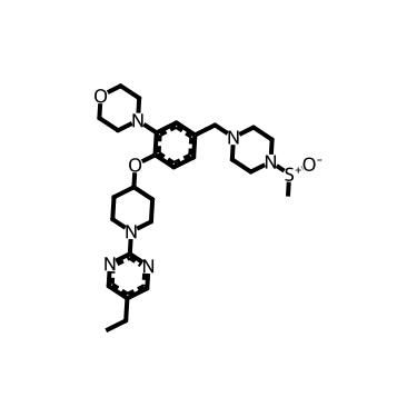 CCc1cnc(N2CCC(Oc3ccc(CN4CCN([S+](C)[O-])CC4)cc3N3CCOCC3)CC2)nc1